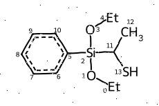 CCO[Si](OCC)(c1ccccc1)C(C)S